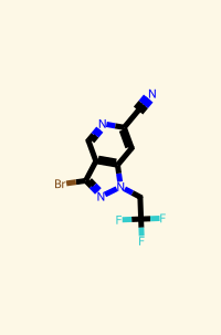 N#Cc1cc2c(cn1)c(Br)nn2CC(F)(F)F